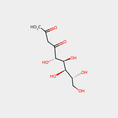 O=C(O)C(=O)CC(=O)[C@@H](O)[C@@H](O)[C@H](O)[C@H](O)CO